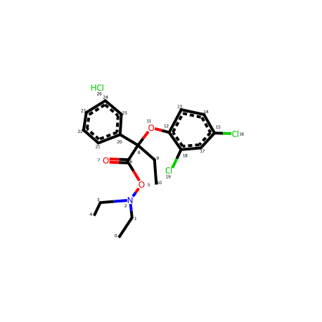 CCN(CC)OC(=O)C(CC)(Oc1ccc(Cl)cc1Cl)c1ccccc1.Cl